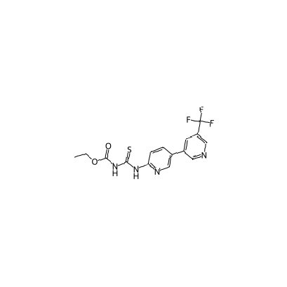 CCOC(=O)NC(=S)Nc1ccc(-c2cncc(C(F)(F)F)c2)cn1